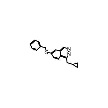 c1ccc(CSc2ccc3c(CC4CC4)nncc3c2)cc1